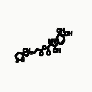 C[C@@]1(CCCCC(=O)OC(=O)[C@@H](N)[C@H](O)c2ccc(O)c(O)c2)CCSS1